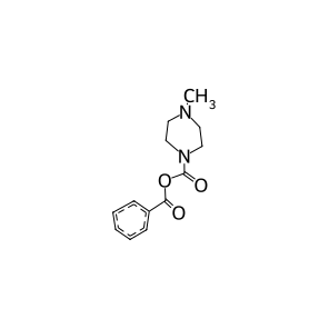 CN1CCN(C(=O)OC(=O)c2ccccc2)CC1